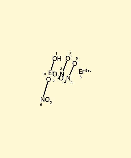 CCO.O=[N+]([O-])[O-].O=[N+]([O-])[O-].O=[N+]([O-])[O-].[Er+3]